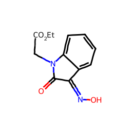 CCOC(=O)CN1C(=O)/C(=N/O)c2ccccc21